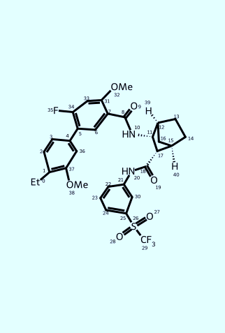 CCc1ccc(-c2cc(C(=O)N[C@@H]3[C@H]4CC[C@H](C4)[C@@H]3C(=O)Nc3cccc(S(=O)(=O)C(F)(F)F)c3)c(OC)cc2F)cc1OC